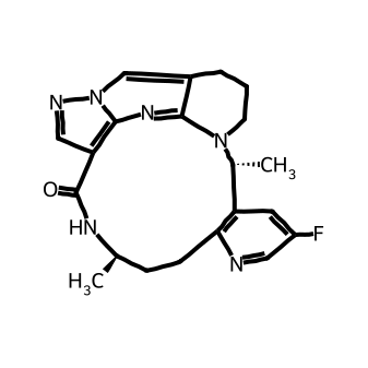 C[C@@H]1CCc2ncc(F)cc2[C@@H](C)N2CCCc3cn4ncc(c4nc32)C(=O)N1